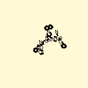 CN1C[C@@H](O[Si](c2ccccc2)(c2ccccc2)C(C)(C)C)C[C@@H]1COc1nc2c(c(N3CCN(C(=O)OCc4ccccc4)[C@@H](CC#N)C3)n1)CCN(c1cccc3ccccc13)C2